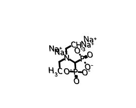 CCN(CC)C(P(=O)([O-])[O-])P(=O)([O-])[O-].[Na+].[Na+].[Na+].[Na+]